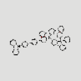 c1ccc(-c2ccc(-c3ccccc3)c(N(c3ccc(-c4ccc(-c5ccc(-n6c7ccccc7c7ccccc76)cc5)cc4)cc3)c3ccc4c(c3)C(c3ccccc3)(c3ccccc3)c3ccccc3-4)c2)cc1